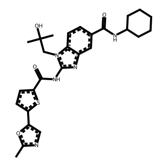 Cc1ncc(-c2ccc(C(=O)Nc3nc4cc(C(=O)NC5CCCCC5)ccc4n3CC(C)(C)O)s2)o1